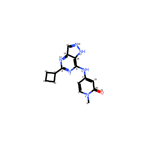 Cn1ccc(Nc2nc(C3CCC3)nc3cn[nH]c23)cc1=O